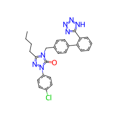 CCCCc1nn(-c2ccc(Cl)cc2)c(=O)n1Cc1ccc(-c2ccccc2-c2nnn[nH]2)cc1